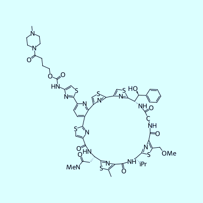 CNC(=O)C[C@@H]1NC(=O)c2csc(n2)-c2ccc(-c3nc(NC(=O)OCCCC(=O)N4CCN(C)CC4)cs3)nc2-c2csc(n2)-c2csc(n2)[C@H]([C@@H](O)c2ccccc2)NC(=O)CNC(=O)c2nc(sc2COC)[C@H](C(C)C)NC(=O)c2nc1sc2C